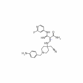 N#CCC1(N/C=C(\C(=N)Nc2ccnc(F)c2)C(N)=O)CCN(Cc2ccc(N)cc2)CC1